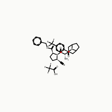 N#C[C@H]1CC[C@@H](C(=O)OCc2ccccc2)N1C(=O)[C@@H](N)C1CC2CCC(C1)N2C(=O)c1ccc(C(F)(F)F)cc1.O=C(O)C(F)(F)F